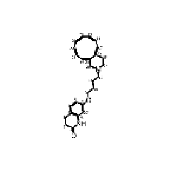 O=C1CCc2ccc(OCCCCN3CCc4ccccccccc4C3)cc2N1